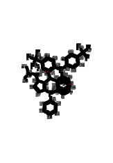 CC(C1=C(P(c2ccccc2)c2ccccc2)C=CC1[C@@H](C)N(C)C)c1ccccc1P(c1ccc(C(F)(F)F)cc1)c1ccc(C(F)(F)F)cc1